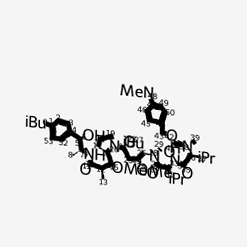 CCC(C)c1ccc([C@H](O)[C@@H](C)NC(=O)[C@H](C)[C@@H](OC)[C@@H]2CCCN2C(=O)C[C@@H](OC)[C@H]([C@@H](C)CC)N(C)C(=O)[C@@H](NC(=O)[C@H](C(C)C)N(C)C(=O)OCc2ccc(NC)cc2)C(C)C)cc1